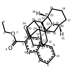 CCOC(=O)c1nc2ccccc2n([C@H]2C[C@H]3CCC[C@@H](C2)N3C23CC4CC(CC(C4)C2)C3)c1=O